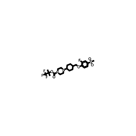 CC(C)(OC(=O)N1CCN(C2CCC(COc3ccc(S(C)(=O)=O)cc3F)CC2)CC1)C(F)(F)F